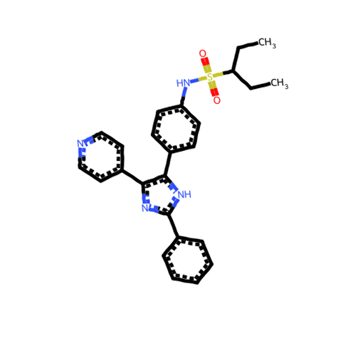 CCC(CC)S(=O)(=O)Nc1ccc(-c2[nH]c(-c3ccccc3)nc2-c2ccncc2)cc1